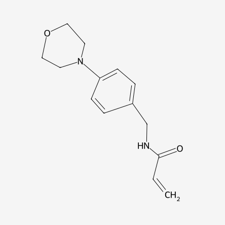 C=CC(=O)NCc1ccc(N2CCOCC2)cc1